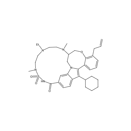 C=CCc1cccc2c1OCC1Cn3c-2c(C2CCCCC2)c2ccc(cc23)C(=O)NS(=O)(=O)N(C)CCN(CC)CCN1C